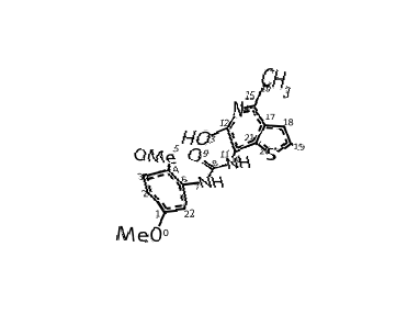 COc1ccc(OC)c(NC(=O)Nc2c(O)nc(C)c3ccsc23)c1